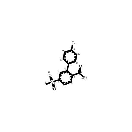 CCC(=O)c1ccc(S(C)(=O)=O)cc1-c1ccc(F)cc1